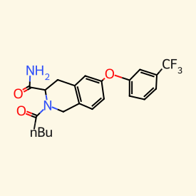 CCCCC(=O)N1Cc2ccc(Oc3cccc(C(F)(F)F)c3)cc2CC1C(N)=O